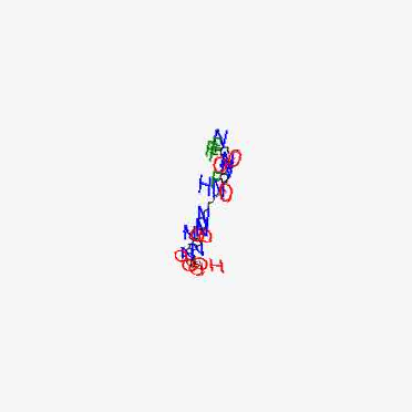 CN(C)Cc1c(OC(=O)N2CCN(CCCCCCNC(=O)c3ccc(N4C(=O)N(c5ccc(C#N)c(C(F)(F)F)c5)C(=O)C4(C)C)cc3F)CC2)ccc2nc3c(cc12)Cn1c-3cc2c(c1=O)COC(=O)[C@H]2O